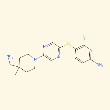 CC1(CN)CCN(c2cnc(Sc3ccc(N)cc3Cl)cn2)CC1